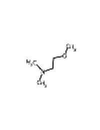 COCCN(C)C